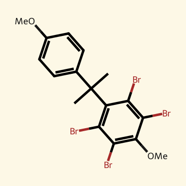 COc1ccc(C(C)(C)c2c(Br)c(Br)c(OC)c(Br)c2Br)cc1